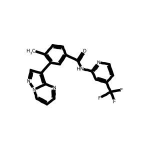 Cc1ccc(C(=O)Nc2cc(C(F)(F)F)ccn2)cc1-c1cnn2cccnc12